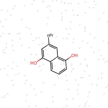 CCCc1cc(O)c2cccc(O)c2c1